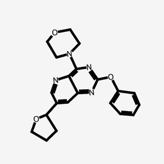 c1ccc(Oc2nc(N3CCOCC3)c3ncc(C4CCCO4)cc3n2)cc1